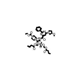 CCCC(=O)OCOP(=O)(C[C@@H](NC(=O)c1cc(N2CC[C@H](OC)C2)nc(-c2ccccc2)n1)C(=O)N1CCN(C(=O)OCC)CC1)OCOC(=O)CCC